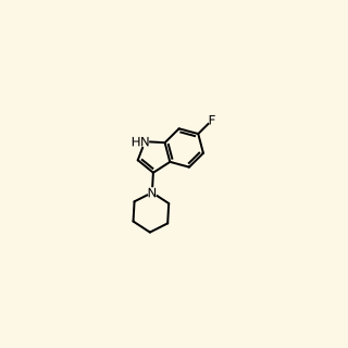 Fc1ccc2c(N3CCCCC3)c[nH]c2c1